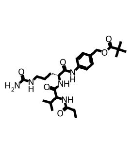 CCC(=O)NC(C(=O)N[C@H](CCCNC(N)=O)C(=O)Nc1ccc(COC(=O)C(C)(C)C)cc1)C(C)C